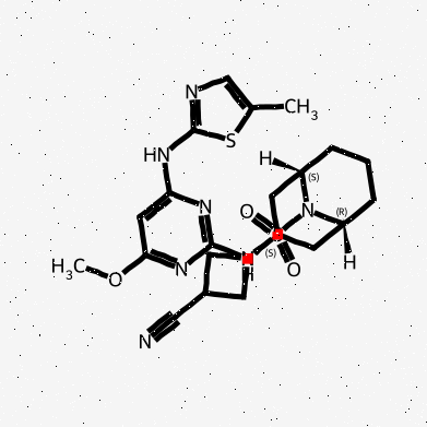 COc1cc(Nc2ncc(C)s2)nc(N[C@@H]2C[C@H]3CCC[C@@H](C2)N3S(=O)(=O)N2CC(C#N)C2)n1